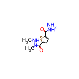 CNN(C)C(=O)c1ccc(C(=O)NN)s1